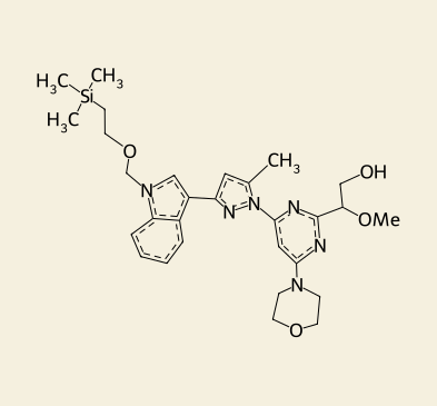 COC(CO)c1nc(N2CCOCC2)cc(-n2nc(-c3cn(COCC[Si](C)(C)C)c4ccccc34)cc2C)n1